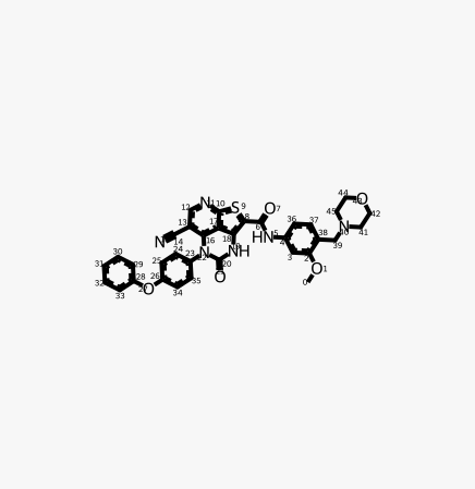 COc1cc(NC(=O)c2sc3ncc(C#N)c4c3c2NC(=O)N4c2ccc(Oc3ccccc3)cc2)ccc1CN1CCOCC1